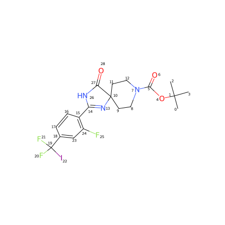 CC(C)(C)OC(=O)N1CCC2(CC1)N=C(c1ccc(C(F)(F)I)cc1F)NC2=O